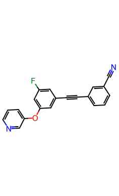 N#Cc1cccc(C#Cc2cc(F)cc(Oc3cccnc3)c2)c1